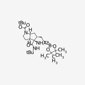 CC(=O)N[C@]1(C(=O)NC(C)(C)C)[C@H](CCCB2OC(C)(C)C(C)(C)O2)C[C@@H]2[C@H]1CCN2C(=O)OC(C)(C)C